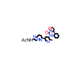 CC(=O)Nc1cn2nc(-c3cnc(C)c(NC(=O)N4OCC[C@H]4c4ccccc4)c3)ccc2n1